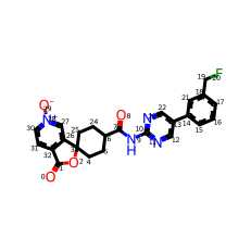 O=C1OC2(CCC(C(=O)Nc3ncc(-c4cccc(CF)c4)cn3)CC2)c2c[n+]([O-])ccc21